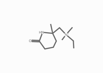 CC[N+](C)(C)CC1(C)CCCC(=O)N1